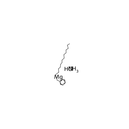 CCCCCCCCCCCCC[CH2][Mg][CH2]c1ccccc1.Cl.N